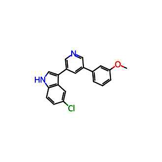 COc1cccc(-c2cncc(-c3c[nH]c4ccc(Cl)cc34)c2)c1